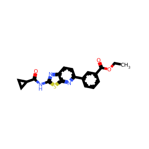 CCOC(=O)c1cccc(-c2ccc3nc(NC(=O)C4CC4)sc3n2)c1